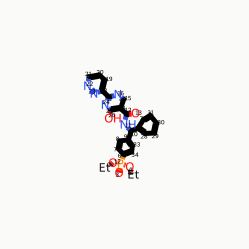 CCOP(=O)(OCC)c1ccc(C(NC(=O)c2cnc(-c3cccnn3)nc2O)c2ccccc2)cc1